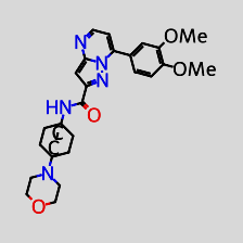 COc1ccc(-c2ccnc3cc(C(=O)NC45CCC(N6CCOCC6)(CC4)CC5)nn23)cc1OC